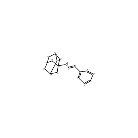 C(=Cc1ccccc1)OC12CC3CC(CC(C3)C1)C2